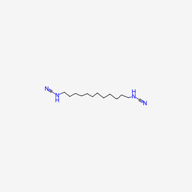 N#CNCCCCCCCCCCCCNC#N